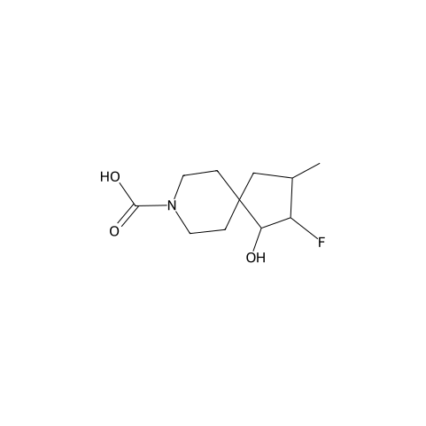 CC1CC2(CCN(C(=O)O)CC2)C(O)C1F